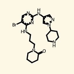 O=C1CCCCN1CCCNc1nc(Nc2cnn(C3CCNCC3)c2)ncc1Br